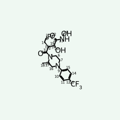 CC(C)C[C@H](C(=O)N1CCN(c2ccc(C(F)(F)F)cc2)C[C@H]1C)[C@H](O)C(=O)NO